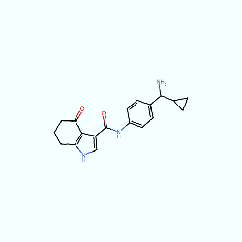 NC(c1ccc(NC(=O)c2c[nH]c3c2C(=O)CCC3)cc1)C1CC1